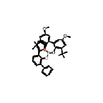 COc1cc(C(C)(C)C)c2op(Oc3c(-c4ccccc4)cccc3-c3ccccc3)oc3c(C(C)(C)C)cc(OC)cc3c2c1